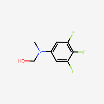 CN(CO)c1cc(F)c(F)c(F)c1